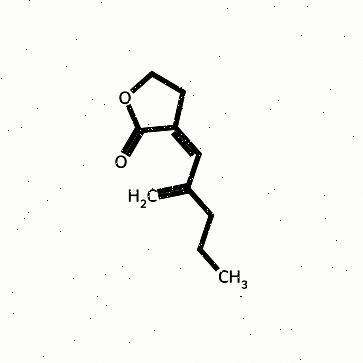 C=C(C=C1CCOC1=O)CCC